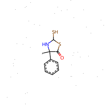 CC1(c2ccccc2)NC(S)SC1=O